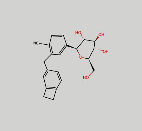 N#Cc1ccc([C@@H]2O[C@H](CO)[C@@H](O)[C@H](O)[C@H]2O)cc1Cc1ccc2c(c1)CC2